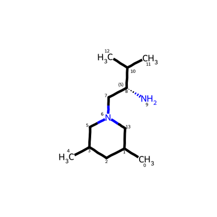 CC1CC(C)CN(C[C@@H](N)C(C)C)C1